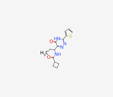 CCC(NC(=O)C1CCC1)c1nnc(-c2cccs2)[nH]c1=O